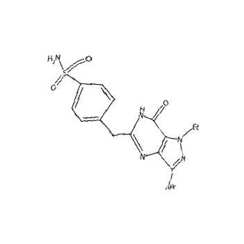 CCCc1nn(CC)c2c(=O)[nH]c(Cc3ccc(S(N)(=O)=O)cc3)nc12